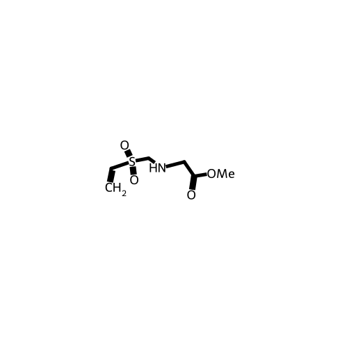 C=CS(=O)(=O)CNCC(=O)OC